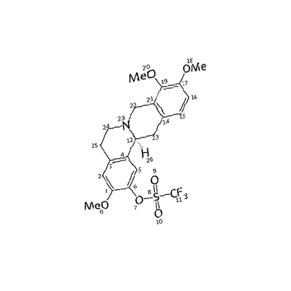 COc1cc2c(cc1OS(=O)(=O)C(F)(F)F)[C@@H]1Cc3ccc(OC)c(OC)c3CN1CC2